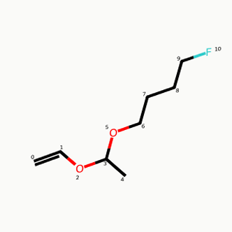 C=COC(C)OCCCCF